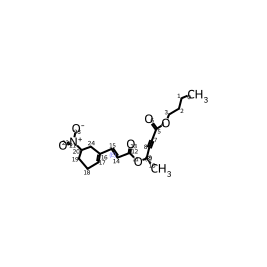 CCCCOC(=O)C#C[C@@H](C)OC(=O)/C=C/C1=CCCC([N+](=O)[O-])C1